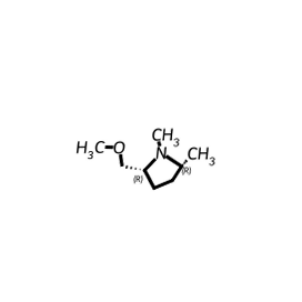 COC[C@H]1CC[C@@H](C)N1C